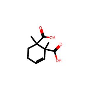 CC1(C(=O)O)C=CCCC1(C)C(=O)O